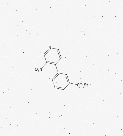 CCOC(=O)c1cccc(-c2ccncc2[N+](=O)[O-])c1